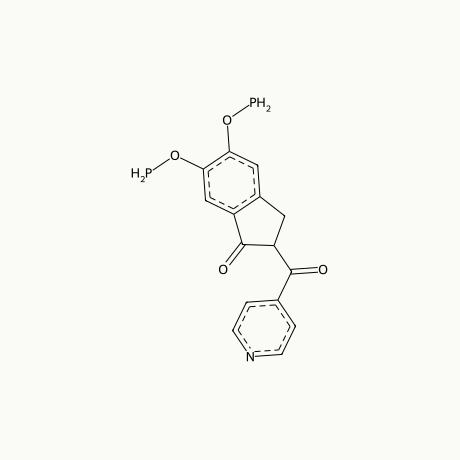 O=C(c1ccncc1)C1Cc2cc(OP)c(OP)cc2C1=O